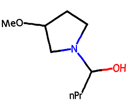 CCCC(O)N1CCC(OC)C1